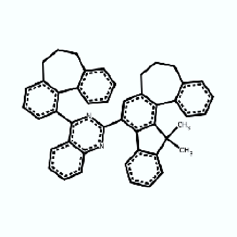 CC1(C)c2ccccc2-c2c(-c3nc(-c4cccc5c4-c4ccccc4CCC5)c4ccccc4n3)cc3c(c21)-c1ccccc1CCC3